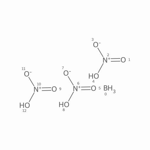 B.O=[N+]([O-])O.O=[N+]([O-])O.O=[N+]([O-])O